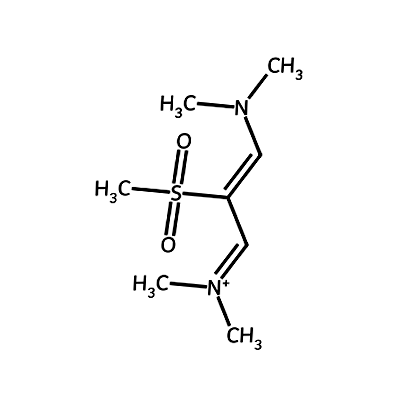 CN(C)C=C(C=[N+](C)C)S(C)(=O)=O